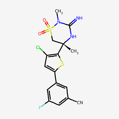 CN1C(=N)N[C@](C)(c2sc(-c3cc(F)cc(C#N)c3)cc2Cl)CS1(=O)=O